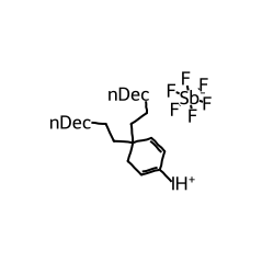 CCCCCCCCCCCCC1(CCCCCCCCCCCC)C=CC([IH+])=CC1.[F][Sb-]([F])([F])([F])([F])[F]